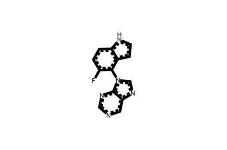 Fc1ccc2[nH]ccc2c1-n1cnc2cncnc21